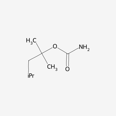 CC(C)CC(C)(C)OC(N)=O